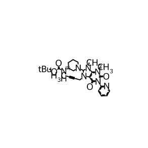 CC#CCN1c2c(n(C)c(=O)n(-c3ccccn3)c2=O)N(C)C1N1CCC[C@@H](NC(=O)OC(C)(C)C)C1